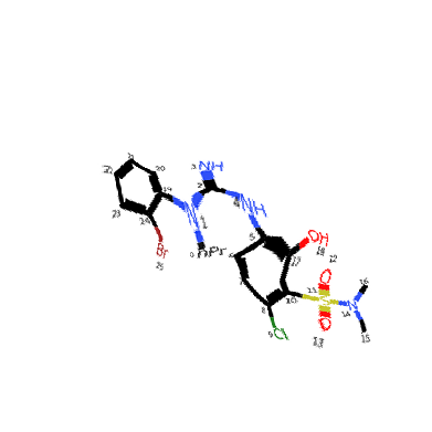 CCCN(C(=N)Nc1ccc(Cl)c(S(=O)(=O)N(C)C)c1O)c1ccccc1Br